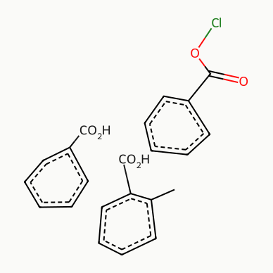 Cc1ccccc1C(=O)O.O=C(O)c1ccccc1.O=C(OCl)c1ccccc1